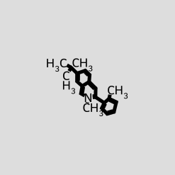 Cc1ccccc1-c1cc2ccc(C(C)(C)C)cc2c[n+]1C